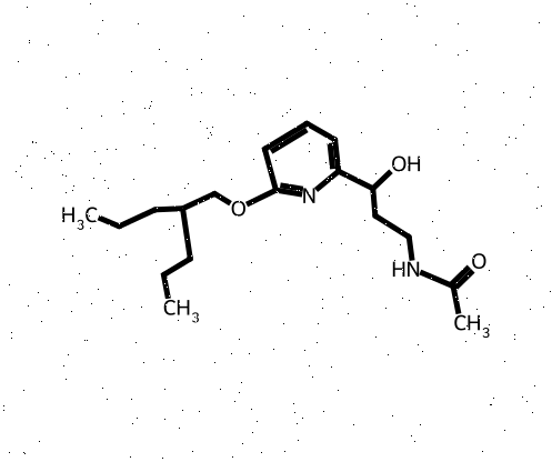 CCCC(CCC)COc1cccc(C(O)CCNC(C)=O)n1